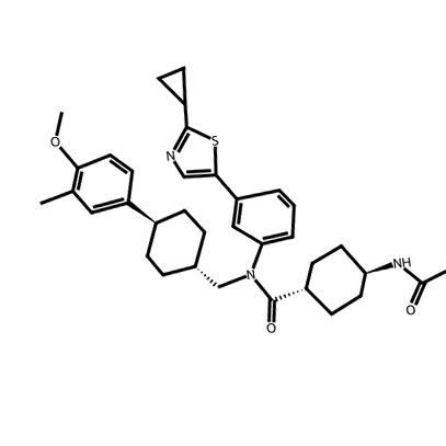 CNC(=O)N[C@H]1CC[C@H](C(=O)N(C[C@H]2CC[C@H](c3ccc(OC)c(C)c3)CC2)c2cccc(-c3cnc(C4CC4)s3)c2)CC1